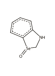 O=[Se]1CNc2ccccc21